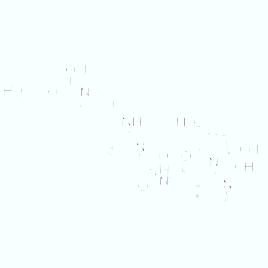 CCOC(O)N1CCC(Nc2cccc(S(=O)(=O)NC(=O)c3cccnc3N3CC(C)CC3(C)C)n2)CC1